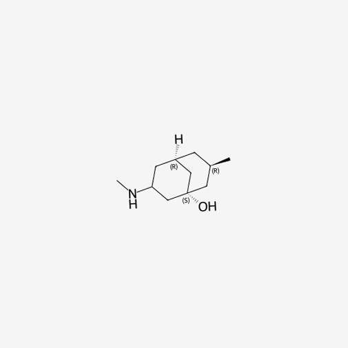 CNC1C[C@H]2C[C@@H](C)C[C@@](O)(C1)C2